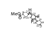 COC(=O)C1CCC(Nc2cc(F)c(C3CCC(C)CC3)c(F)c2)CC1